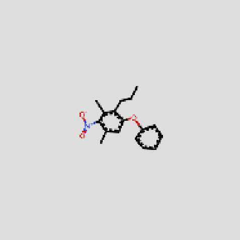 CCCc1c(Oc2ccccc2)cc(C)c([N+](=O)[O-])c1C